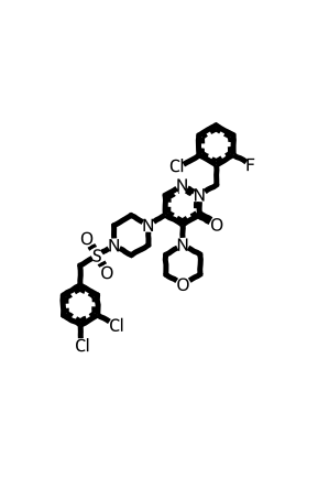 O=c1c(N2CCOCC2)c(N2CCN(S(=O)(=O)Cc3ccc(Cl)c(Cl)c3)CC2)cnn1Cc1c(F)cccc1Cl